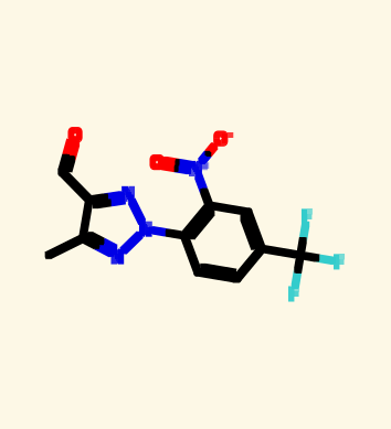 Cc1nn(-c2ccc(C(F)(F)F)cc2[N+](=O)[O-])nc1C=O